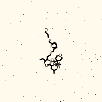 CCC(C)C(CCSCc1cccc(CSCCC=O)n1)NC(=O)C(CC(C)C)NC(=O)C1(NC)CCOCC1